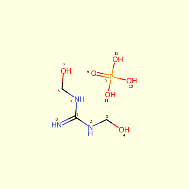 N=C(NCO)NCO.O=P(O)(O)O